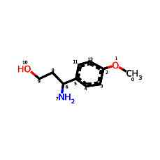 COc1ccc(C(N)CCO)cc1